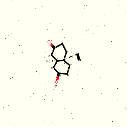 C=C.O=C1CC[C@H]2CCC(=O)C[C@H]2C1